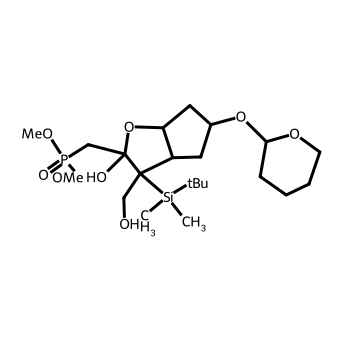 COP(=O)(CC1(O)OC2CC(OC3CCCCO3)CC2C1(CO)[Si](C)(C)C(C)(C)C)OC